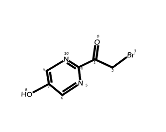 O=C(CBr)c1ncc(O)cn1